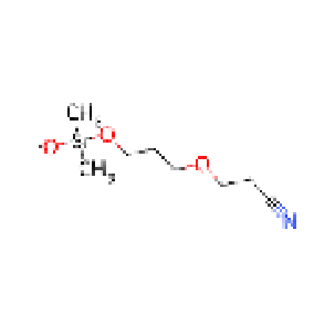 C[Si](C)([O])OCCCOCCC#N